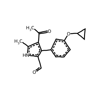 CC(=O)c1c(C)[nH]c(C=O)c1-c1cccc(OC2CC2)c1